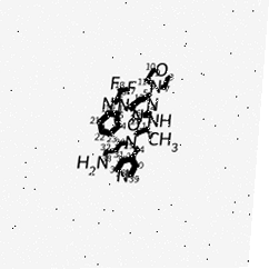 C[C@H](Nc1nc(N2CCOCC2)cc(-n2c(C(F)F)nc3ccccc32)n1)C(=O)N(CCCN)Cc1ccncc1